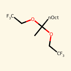 CCCCCCCCC(C)(OCC(F)(F)F)OCC(F)(F)F